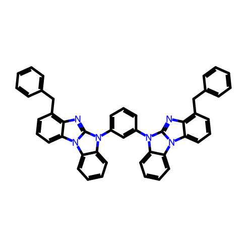 c1ccc(Cc2cccc3c2nc2n(-c4cccc(-n5c6ccccc6n6c7cccc(Cc8ccccc8)c7nc56)c4)c4ccccc4n32)cc1